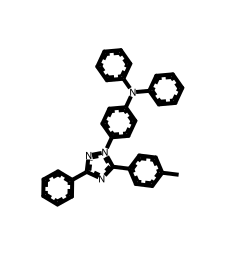 Cc1ccc(-c2nc(-c3ccccc3)nn2-c2ccc(N(c3ccccc3)c3ccccc3)cc2)cc1